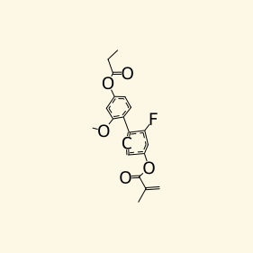 C=C(C)C(=O)Oc1ccc(-c2ccc(OC(=O)CC)cc2OC)c(F)c1